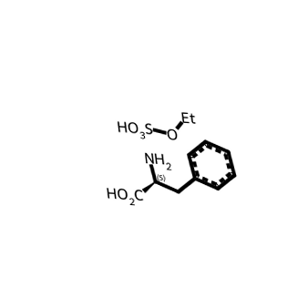 CCOS(=O)(=O)O.N[C@@H](Cc1ccccc1)C(=O)O